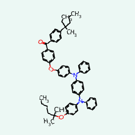 CCCCC(C)(C)Oc1ccc(N(c2ccccc2)c2ccc(N(c3ccccc3)c3ccc(Oc4ccc(C(=O)c5ccc(C(C)(CC)CCC)cc5)cc4)cc3)cc2)cc1